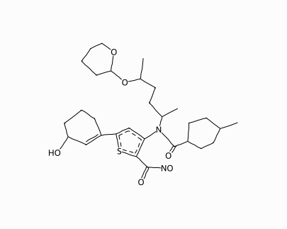 CC1CCC(C(=O)N(c2cc(C3=CC(O)CCC3)sc2C(=O)N=O)C(C)CCC(C)OC2CCCCO2)CC1